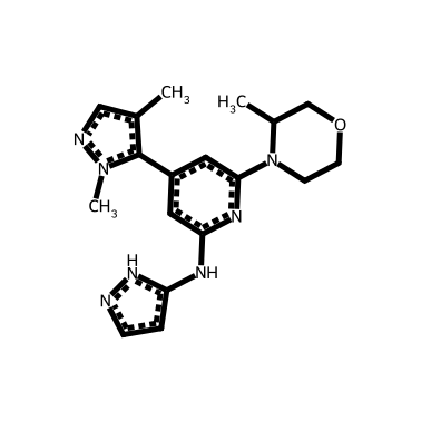 Cc1cnn(C)c1-c1cc(Nc2ccn[nH]2)nc(N2CCOCC2C)c1